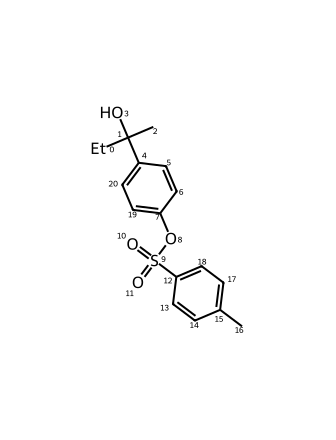 CCC(C)(O)c1ccc(OS(=O)(=O)c2ccc(C)cc2)cc1